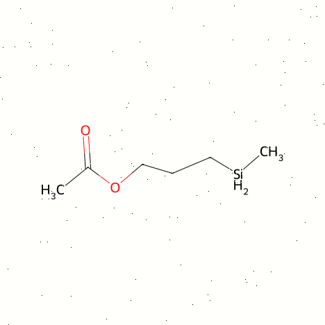 C[SiH2]CCCOC(C)=O